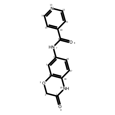 O=C1COc2cc(NC(=O)c3ccncc3)ccc2N1